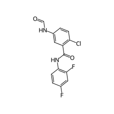 O=CNc1ccc(Cl)c(C(=O)Nc2ccc(F)cc2F)c1